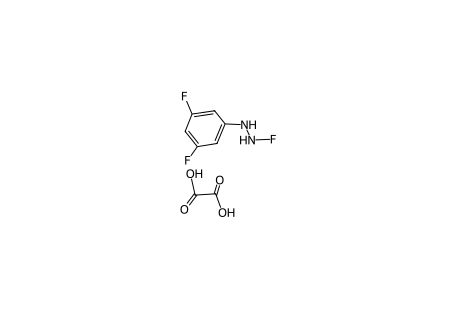 FNNc1cc(F)cc(F)c1.O=C(O)C(=O)O